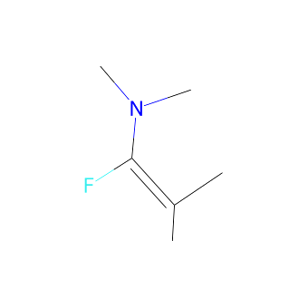 CC(C)=C(F)N(C)C